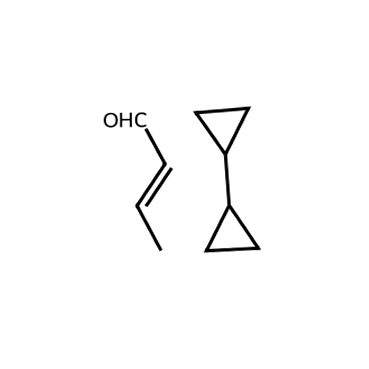 C1CC1C1CC1.CC=CC=O